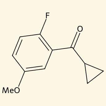 COc1ccc(F)c(C(=O)C2CC2)c1